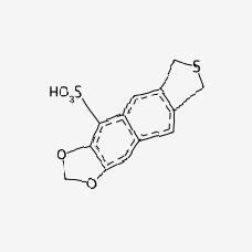 O=S(=O)(O)c1c2c(cc3cc4c(cc13)CSC4)OCO2